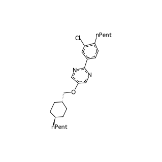 CCCCCc1ccc(-c2ncc(OC[C@H]3CC[C@H](CCCCC)CC3)cn2)cc1Cl